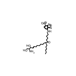 CCCCCCC(CCCCCCC=CC(O)C(N)CO)C(=O)CCCCCNc1ccc([N+](=O)[O-])c2nonc12